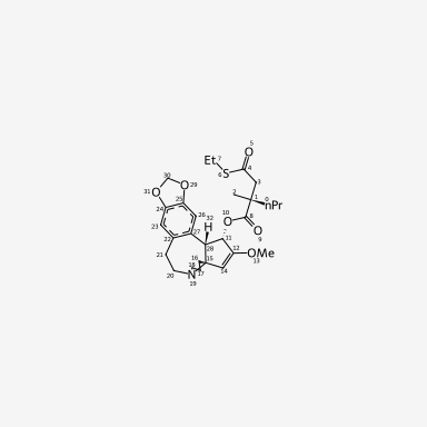 CCC[C@@](C)(CC(=O)SCC)C(=O)O[C@@H]1C(OC)=C[C@]23CCCN2CCc2cc4c(cc2[C@H]13)OCO4